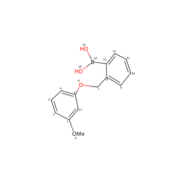 COc1cccc(OCc2ccccc2B(O)O)c1